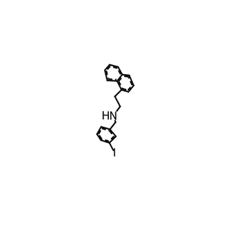 Ic1cccc(CNCCc2cccc3ccccc23)c1